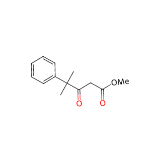 COC(=O)CC(=O)C(C)(C)c1ccccc1